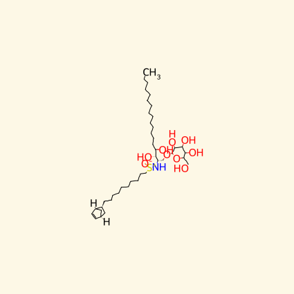 CCCCCCCCCCCCCC[C@@H](O)[C@@H](O)[C@H](COC1OC(CO)C(O)C(O)C1O)N[S+]([O-])CCCCCCCCCC[C@H]1C[C@H]2C=C[C@@H]1C2